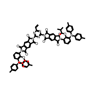 C=Cc1nc(-n2c(=O)c3cc4c(=O)n(-c5cccc(N(c6ccc(C)cc6)c6ccc(C)cc6)c5OC(C)C(C)C)c(=O)c4cc3c2=O)nc(-n2c(=O)c3cc4c(=O)n(-c5cccc(N(c6ccc(C)cc6)c6ccc(C)cc6)c5OC(C)C(C)C)c(=O)c4cc3c2=O)n1